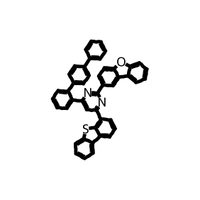 c1ccc(-c2ccc(-c3ccccc3-c3cc(-c4cccc5c4sc4ccccc45)nc(-c4ccc5oc6ccccc6c5c4)n3)cc2)cc1